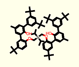 Cc1cc(-c2cc(C(C)(C)C)cc(C(C)(C)C)c2)c(O)c(-c2cc(C(C)(C)C)ccc2OC[Si](COc2ccc(C(C)(C)C)cc2-c2cc(C)cc(-c3cc(C(C)(C)C)cc(C(C)(C)C)c3)c2O)(C(C)C)C(C)C)c1